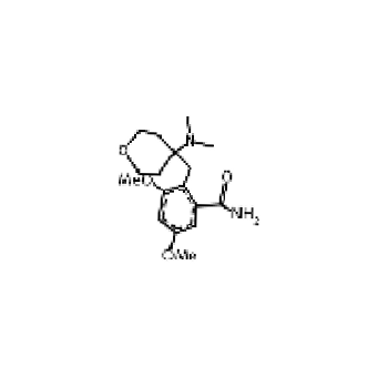 COc1cc(OC)c(CC2(N(C)C)CCOCC2)c(C(N)=O)c1